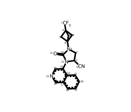 N#CC1CN(C23CC(C(F)(F)F)(C2)C3)C(=O)N1c1cncc2ccccc12